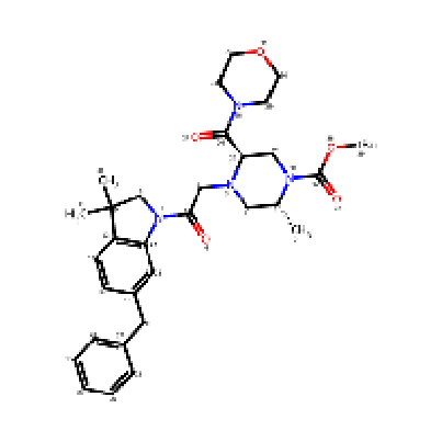 C[C@@H]1CN(CC(=O)N2CC(C)(C)c3ccc(Cc4ccccc4)cc32)[C@@H](C(=O)N2CCOCC2)CN1C(=O)OC(C)(C)C